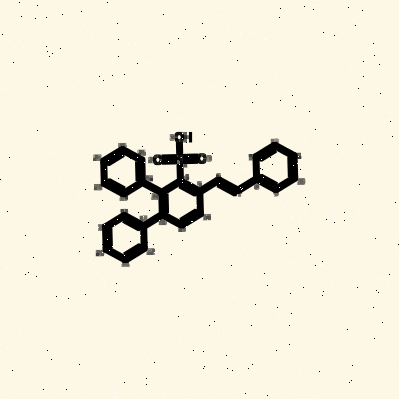 O=S(=O)(O)c1c(C=Cc2ccccc2)ccc(-c2ccccc2)c1-c1ccccc1